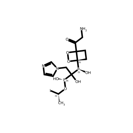 C[C@H](I)O[P@](O)C(O)(Cn1ccnc1)[P@](O)[C@@]12CCC1(C(=O)CN)OO2